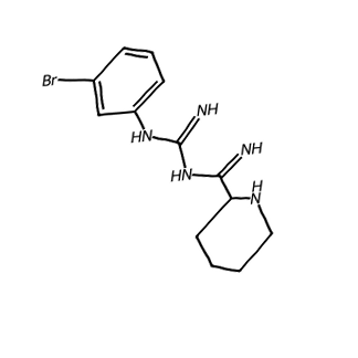 N=C(NC(=N)C1CCCCN1)Nc1cccc(Br)c1